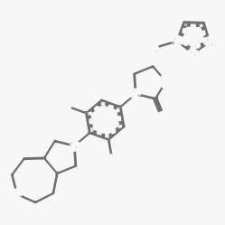 O=C1O[C@@H](Cn2ccnn2)CN1c1cc(F)c(N2CC3CCSCCC3C2)c(F)c1